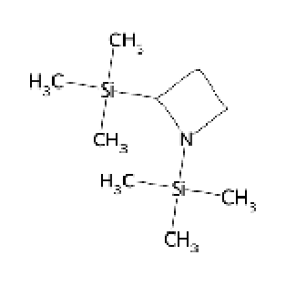 C[Si](C)(C)C1CCN1[Si](C)(C)C